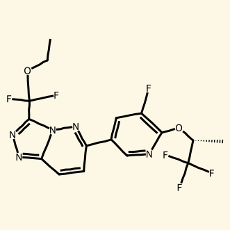 CCOC(F)(F)c1nnc2ccc(-c3cnc(O[C@H](C)C(F)(F)F)c(F)c3)nn12